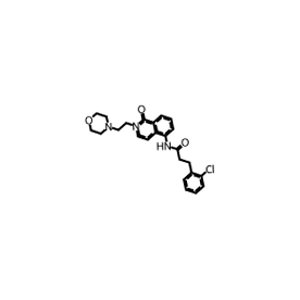 O=C(CCc1ccccc1Cl)Nc1cccc2c(=O)n(CCN3CCOCC3)ccc12